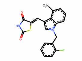 O=C1NC(=O)/C(=C/c2cn(Cc3ccccc3F)c3cccc([N+](=O)[O-])c23)S1